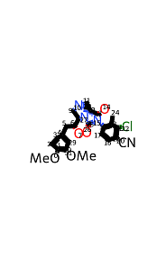 COc1ccc(CC(=O)C2CN3CC4C(=O)N(c5ccc(C#N)c(Cl)c5C)C(=O)[N+]24C3)cc1OC